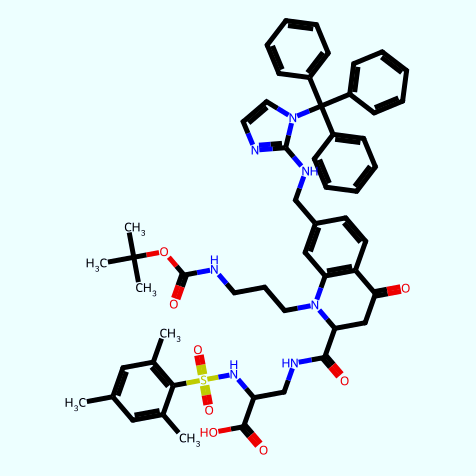 Cc1cc(C)c(S(=O)(=O)NC(CNC(=O)C2CC(=O)c3ccc(CNc4nccn4C(c4ccccc4)(c4ccccc4)c4ccccc4)cc3N2CCCNC(=O)OC(C)(C)C)C(=O)O)c(C)c1